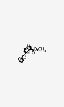 CCOC(=O)c1cnn2ccc(NC[C@H]3CCCO3)nc12